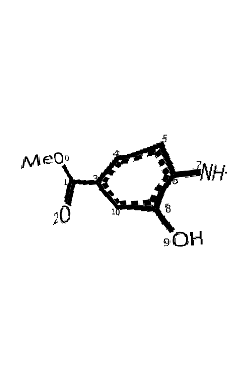 COC(=O)c1ccc([NH])c(O)c1